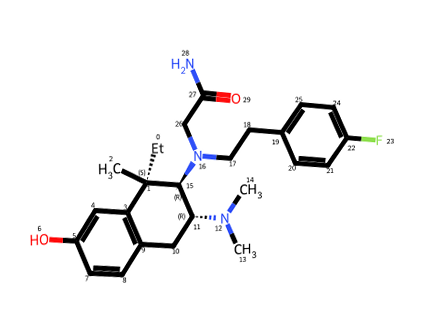 CC[C@@]1(C)c2cc(O)ccc2C[C@@H](N(C)C)[C@@H]1N(CCc1ccc(F)cc1)CC(N)=O